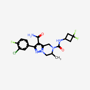 CC1Cn2nc(-c3ccc(F)c(Cl)c3)c(C(N)=O)c2CN1C(=O)NC1CC(F)(F)C1